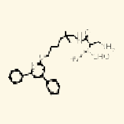 CC(C)(CCCCOc1cc(-c2ccccc2)cc(-c2ccccc2)n1)CNC(=O)C(CN)N(C=O)OC(C)(C)C